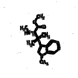 CN[C@H](C(=O)OC)C(C)(C)c1cn(C)c2ccccc12